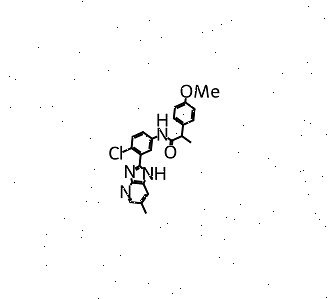 COc1ccc(C(C)C(=O)Nc2ccc(Cl)c(-c3nc4ncc(C)cc4[nH]3)c2)cc1